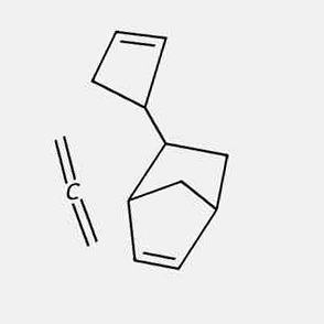 C1=CC(C2CC3C=CC2C3)C1.C=C=C